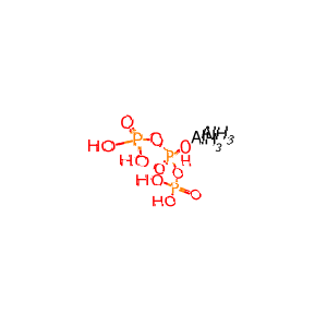 O=P(O)(O)OP(=O)(O)OP(=O)(O)O.[AlH3].[AlH3]